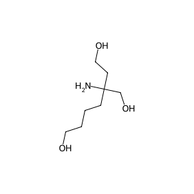 NC(CO)(CCO)CCCCO